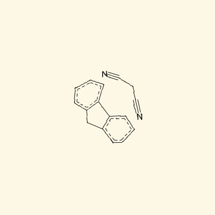 N#CCC#N.c1ccc2c(c1)Cc1ccccc1-2